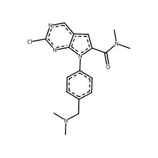 CN(C)Cc1ccc(-n2c(C(=O)N(C)C)cc3cnc(Cl)nc32)cc1